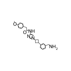 COc1ccc(CC(=O)Nc2cn(C3CC(c4cccc(CN)c4)C3)cn2)cc1